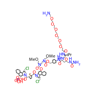 COCCN(CCN(CCOC)C(=O)Oc1cc2c(c3ccccc13)[C@H](CCl)CN2C(=O)c1ccc(C(=O)N2C[C@@H](CCl)c3c2cc(OP(=O)(O)O)c2ccccc32)s1)C(=O)OCc1ccc(NC(=O)C(CCCNC(N)=O)NC(=O)[C@@H](NC(=O)CCOCCOCCOCCOCCOCCOCCN)C(C)C)cc1